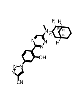 CN(c1cnc(-c2ccc(-n3cc(C#N)nn3)cc2O)nn1)[C@H]1C[C@@H]2CCC[C@@H](C2)[C@H]1F